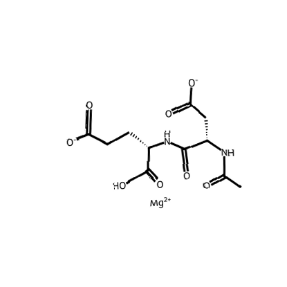 CC(=O)N[C@@H](CC(=O)[O-])C(=O)N[C@@H](CCC(=O)[O-])C(=O)O.[Mg+2]